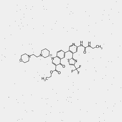 CCNC(=O)Nc1cc(-c2nc(C(F)(F)F)cs2)c(-c2ccc3c(c2)c(=O)c(C(=O)OCC)cn3[C@H]2CCCN(CCN3CCOCC3)C2)cn1